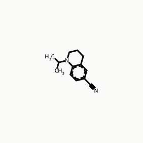 CC(C)N1CCCc2cc(C#N)ccc21